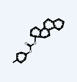 Cc1ccc(OC(=O)Oc2cccc3c2ccc2c4ccccc4ccc32)cc1